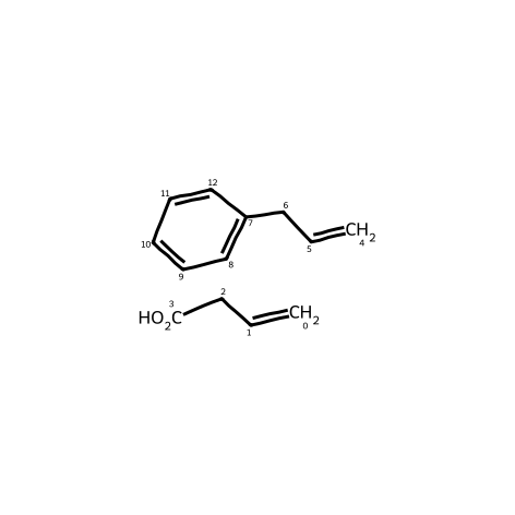 C=CCC(=O)O.C=CCc1ccccc1